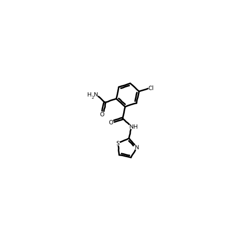 NC(=O)c1ccc(Cl)cc1C(=O)Nc1nccs1